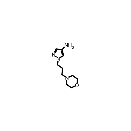 Nc1cnn(CCCN2CCOCC2)c1